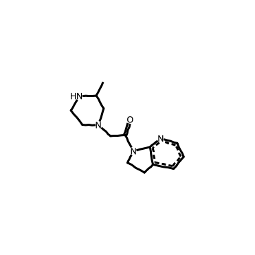 CC1CN(CC(=O)N2CCc3cccnc32)CCN1